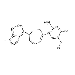 Cn1c#cc2c(C3=CCC(n4cc(N=O)c(=O)cc4N)=CC=C3)cccc21